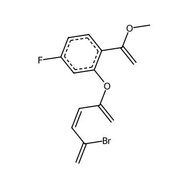 C=C(Br)/C=C\C(=C)Oc1cc(F)ccc1C(=C)OC